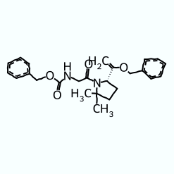 C=C(OCc1ccccc1)[C@@H]1CCC(C)(C)N1C(=O)CNC(=O)OCc1ccccc1